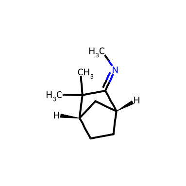 C/N=C1/[C@@H]2CC[C@@H](C2)C1(C)C